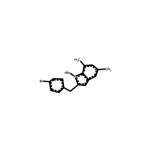 CCCCn1c(Cc2ccc(Br)cc2)cc2cc(C)cc(C)c21